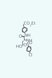 CCOC(=O)Cc1ccc(NC(=O)[C@H](CCO)NS(=O)(=O)c2ccc(Cl)cc2)cc1